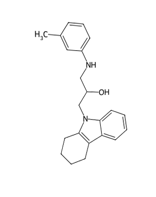 Cc1cccc(NCC(O)Cn2c3c(c4ccccc42)CCCC3)c1